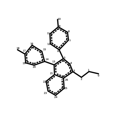 CCCc1[c]c(-c2ccc(C)cc2)c(-c2ccc(C)cc2)c2ccccc12